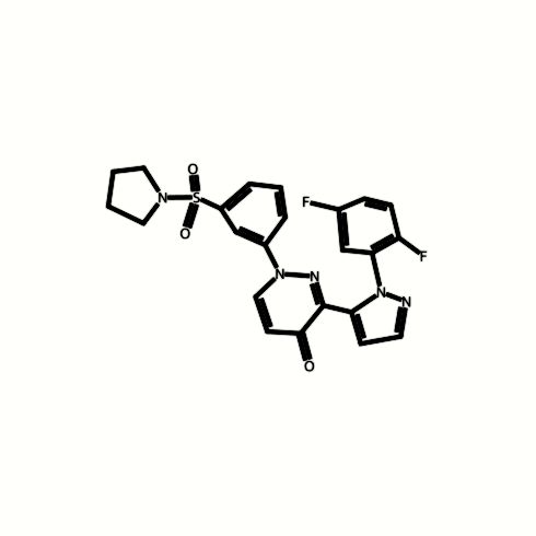 O=c1ccn(-c2cccc(S(=O)(=O)N3CCCC3)c2)nc1-c1ccnn1-c1cc(F)ccc1F